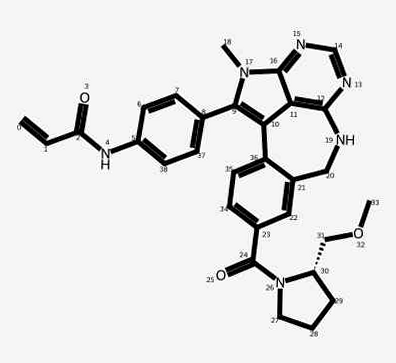 C=CC(=O)Nc1ccc(-c2c3c4c(ncnc4n2C)NCc2cc(C(=O)N4CCC[C@H]4COC)ccc2-3)cc1